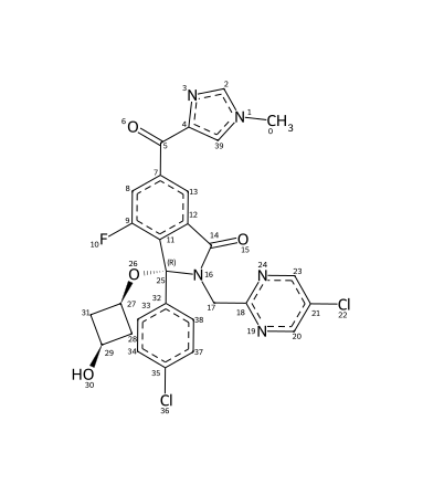 Cn1cnc(C(=O)c2cc(F)c3c(c2)C(=O)N(Cc2ncc(Cl)cn2)[C@@]3(O[C@H]2C[C@@H](O)C2)c2ccc(Cl)cc2)c1